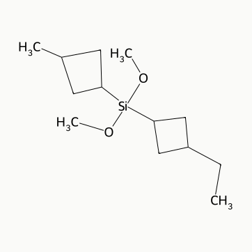 CCC1CC([Si](OC)(OC)C2CC(C)C2)C1